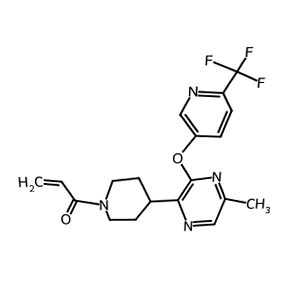 C=CC(=O)N1CCC(c2ncc(C)nc2Oc2ccc(C(F)(F)F)nc2)CC1